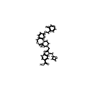 O=C(O)c1cnc2nc(CN3CCN4c5nc(OCc6ccncc6F)ccc5COC[C@H]4C3)n(C[C@@H]3CCO3)c2c1